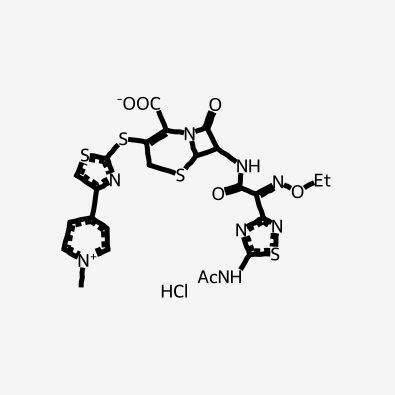 CCON=C(C(=O)NC1C(=O)N2C(C(=O)[O-])=C(Sc3nc(-c4cc[n+](C)cc4)cs3)CSC12)c1nsc(NC(C)=O)n1.Cl